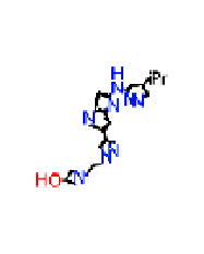 CC(C)c1cnnc(Nc2ccc3ncc(-c4cnn(CCCN5CC(O)C5)c4)cc3n2)c1